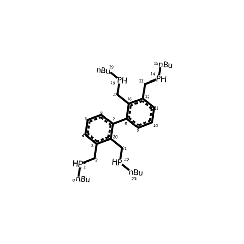 CCCCPCc1cccc(-c2cccc(CPCCCC)c2CPCCCC)c1CPCCCC